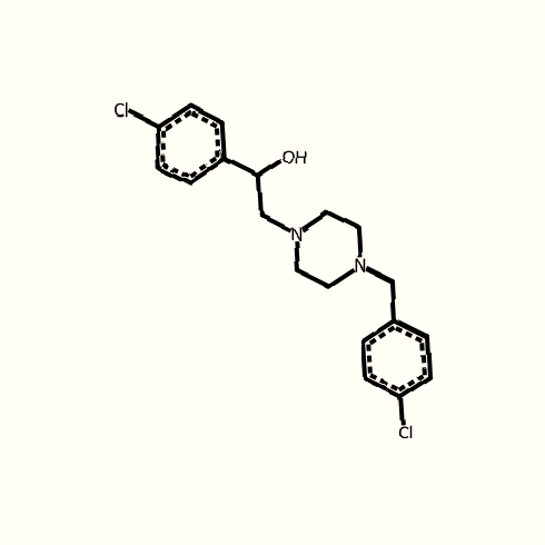 OC(CN1CCN(Cc2ccc(Cl)cc2)CC1)c1ccc(Cl)cc1